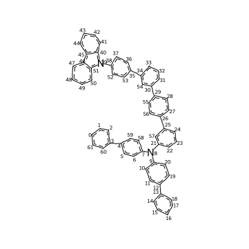 c1ccc(-c2ccc(N(c3ccc(-c4ccccc4)cc3)c3cccc(-c4ccc(-c5cccc(-c6ccc(-n7c8ccccc8c8ccccc87)cc6)c5)cc4)c3)cc2)cc1